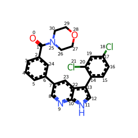 O=C(c1cccc(-c2cnc3[nH]cc(-c4ccc(Cl)cc4Cl)c3c2)c1)N1CCOCC1